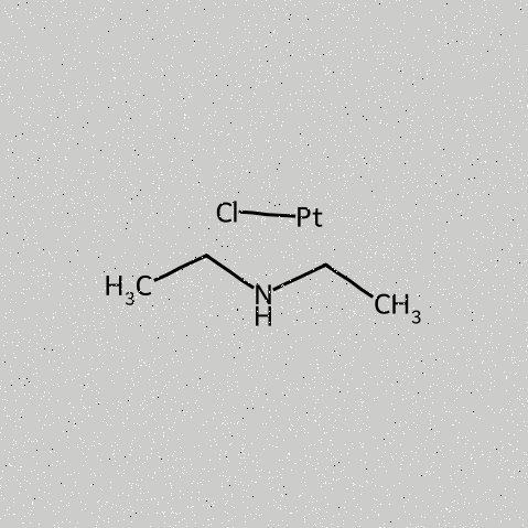 CCNCC.[Cl][Pt]